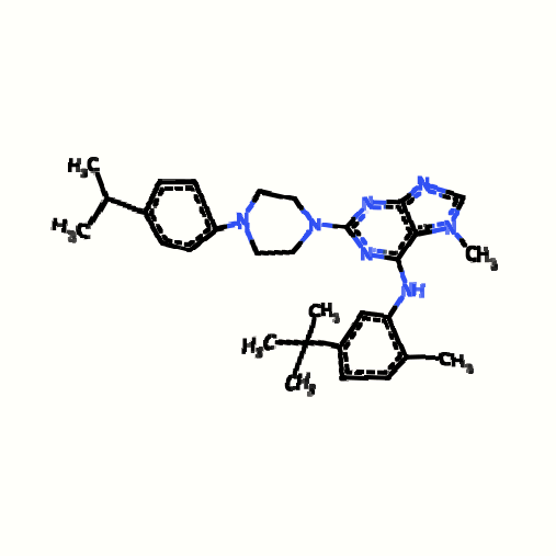 Cc1ccc(C(C)(C)C)cc1Nc1nc(N2CCN(c3ccc(C(C)C)cc3)CC2)nc2ncn(C)c12